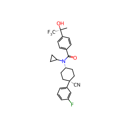 C[C@](O)(c1ccc(C(=O)N(C2CC2)[C@H]2CC[C@](C#N)(c3cccc(F)c3)CC2)cc1)C(F)(F)F